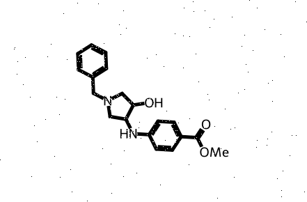 COC(=O)c1ccc(NC2CN(Cc3ccccc3)CC2O)cc1